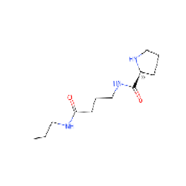 CCCNC(=O)CCCNC(=O)[C@@H]1CCCN1